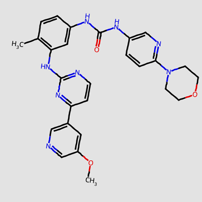 COc1cncc(-c2ccnc(Nc3cc(NC(=O)Nc4ccc(N5CCOCC5)nc4)ccc3C)n2)c1